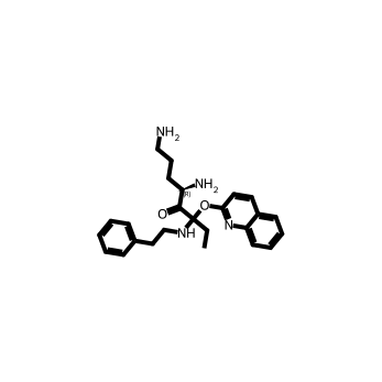 CCC(NCCc1ccccc1)(Oc1ccc2ccccc2n1)C(=O)[C@H](N)CCCN